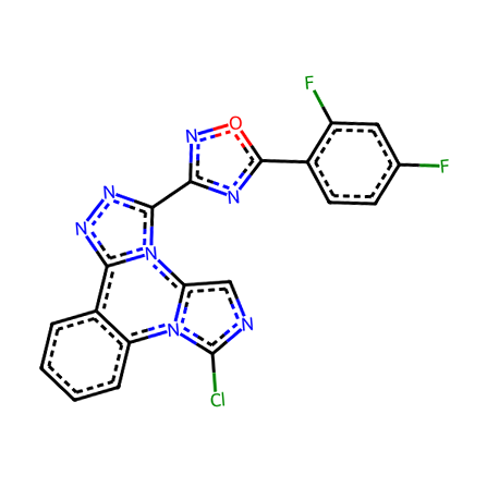 Fc1ccc(-c2nc(-c3nnc4c5ccccc5n5c(Cl)ncc5n34)no2)c(F)c1